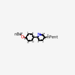 CCCCCc1ccc(-c2ccc(OCCCC)cc2)nc1